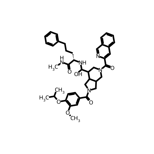 CNC(=O)[C@H](CCCc1ccccc1)NC(O)C1CN(C(=O)c2cc3ccccc3cn2)CC2CN(C(=O)c3ccc(OC(C)C)c(OC)c3)CC21